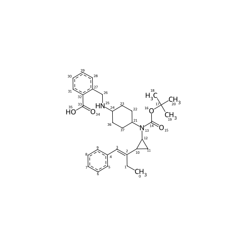 CCC(=Cc1ccccc1)C1CC1N(C(=O)OC(C)(C)C)C1CCC(NCc2ccccc2C(=O)O)CC1